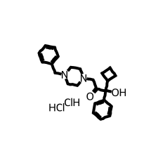 Cl.Cl.O=C(CN1CCN(Cc2ccccc2)CC1)C(O)(c1ccccc1)C1CCC1